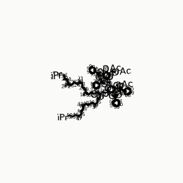 CC(=O)OC[C@H]1O[C@@H](OC[C@H]2O[C@H](OC[C@H](COCC[C@@H](C)CCC[C@@H](C)CCC[C@H](C)CCCC(C)C)OCC[C@@H](C)CCC[C@@H](C)CCC[C@H](C)CCCC(C)C)[C@H](OC(=O)c3ccccc3)[C@@H](OC(=O)c3ccccc3)[C@@H]2OC(C)=O)[C@H](OC(=O)c2ccccc2)[C@@H](OC(=O)c2ccccc2)[C@@H]1OC(C)=O